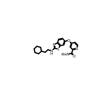 CNC(=O)c1cc(Oc2ccc3nc(NCCC4CCCCC4)sc3c2)ccn1